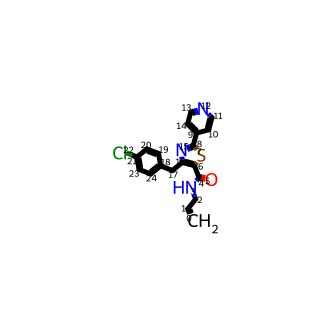 C=CCNC(=O)c1sc(-c2ccncc2)nc1Cc1ccc(Cl)cc1